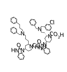 O=C(O)N1CCC(n2c(=O)[nH]c3ccccc32)CC1CCCN(CCCc1ccccc1)Cc1ccccc1.O=C(O)N1CCC(n2c(=O)[nH]c3ccccc32)C[C@@H]1CCN(Cc1ccccc1)Cc1cccc(Cl)c1